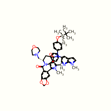 Cc1c(C(=O)N(c2ccc(O[Si](C)(C)C(C)(C)C)cc2)c2cnc3c(ccn3C)c2)cc(-c2cc3c(cc2C(=O)N2Cc4ccccc4C[C@H]2CN2CCOCC2)OCO3)n1C